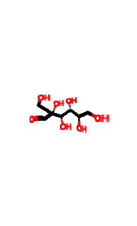 O=C[C@@](O)(CO)[C@@H](O)[C@H](O)[C@H](O)CO